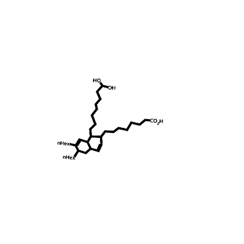 CCCCCCC1=CC2C(C=CC(CCCCCCCC(=O)O)C2CCCCCCCC(O)O)CC1CCCCCC